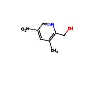 Cc1cc([N+](=O)[O-])cnc1CO